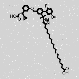 COc1ccc(F)c(-c2ccc(COc3cccc([C@@H](CC(=O)O)C4CC4)c3)cc2C(C)(C)n2cc(CCCCCCCCCCCCCCCCCC(=O)O)nn2)c1